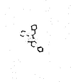 Cc1ccc(N2CCC(C#N)(NC(=O)C(CC3CCCCC3)NC(=O)N3CCOCC3)CC2)cc1